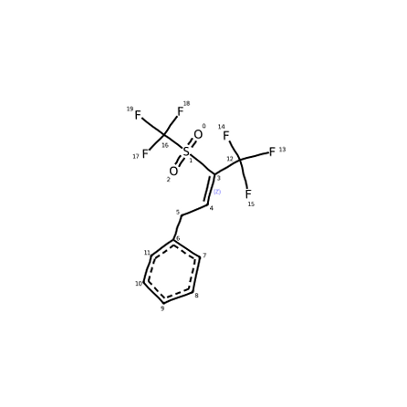 O=S(=O)(/C(=C\Cc1ccccc1)C(F)(F)F)C(F)(F)F